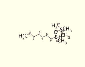 C=CCCCCC[SiH](C)O[Si](C)(C)C